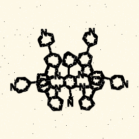 N#Cc1c(-n2c3ccccc3c3ccccc32)c(-n2c3ccc(-c4ccncc4)cc3c3cc(-c4ccncc4)ccc32)c(-c2ccccc2)c(-n2c3ccc(-c4ccncc4)cc3c3cc(-c4ccncc4)ccc32)c1-n1c2ccccc2c2ccccc21